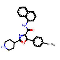 CC(=O)Nc1ccc(-c2oc(C3CCNCC3)nc2C(=O)Nc2cccc3ccccc23)cc1